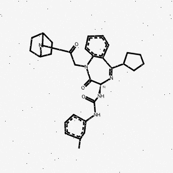 Cc1cccc(NC(=O)N[C@@H]2N=C(C3CCCC3)c3ccccc3N(CC(=O)N3CC4CCC(CC4)C3)C2=O)c1